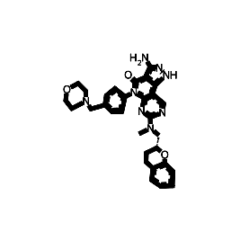 CN(C[C@H]1CCc2ccccc2O1)c1ncc2c3[nH]nc(N)c3c(=O)n(-c3ccc(CN4CCOCC4)cc3)c2n1